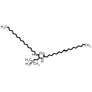 CCCCCCCC/C=C/CCCCCCCC(=O)NC(CC[N+](C)(C)C)C(=O)NCCCCCCCCCCCCCCCC